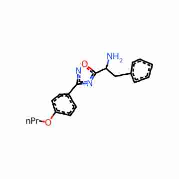 CCCOc1ccc(-c2noc(C(N)Cc3ccccc3)n2)cc1